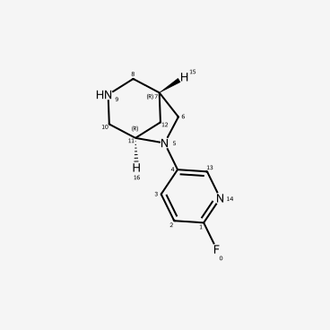 Fc1ccc(N2C[C@H]3CNC[C@H]2C3)cn1